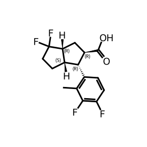 Cc1c([C@@H]2[C@@H]3CCC(F)(F)[C@@H]3C[C@H]2C(=O)O)ccc(F)c1F